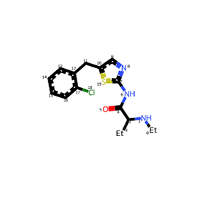 CCNC(CC)C(=O)Nc1ncc(Cc2ccccc2Cl)s1